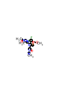 C=CC(=O)N1CCn2nc(-c3nc(-c4ccn(C5CN(C)C5)c(=O)c4)c4ccsc4c3-c3c(F)cc(F)cc3OCCOC)cc2[C@H]1C